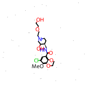 COc1c(Cl)cc(C(=O)NC[C@@H]2CCN(CCOCCO)CC2O)c2c1OCCO2